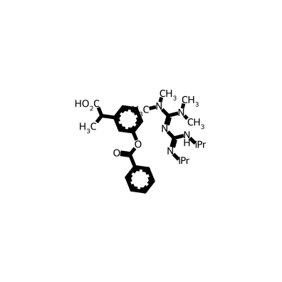 CC(C(=O)O)c1cccc(OC(=O)c2ccccc2)c1.CC(C)N=C(N=C(N(C)C)N(C)C)NC(C)C